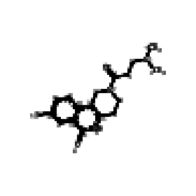 CN(C)CCC(=O)N1CCc2[nH]c(=O)c3cc(F)ccc3c2C1